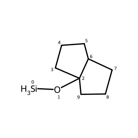 [SiH3]OC12CCCC1CCC2